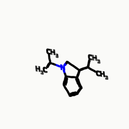 CC(C)C1CN(C(C)C)c2ccccc21